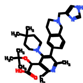 Cc1nc(C)c([C@H](OC(C)(C)C)C(=O)O)c(N2CCC(C)(C)CC2)c1-c1ccc2c(c1)CCN(Cc1c[nH]cn1)C2